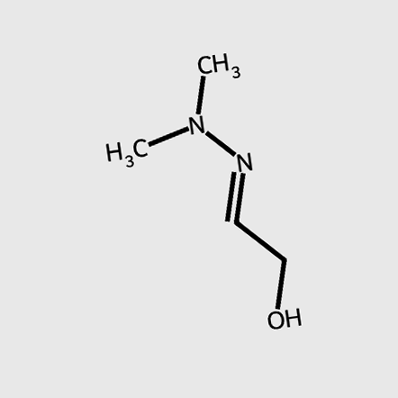 CN(C)N=CCO